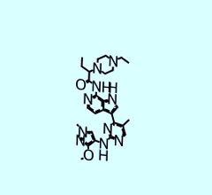 CCC(C(=O)Nc1nccc2c(-c3nc(Nc4cn(C)nc4OC)ncc3C)c[nH]c12)N1CCN(CC)CC1